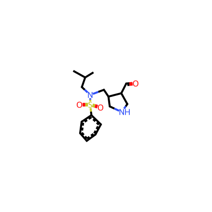 CC(C)CN(CC1CNCC1C=O)S(=O)(=O)c1ccccc1